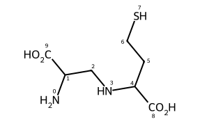 NC(CNC(CCS)C(=O)O)C(=O)O